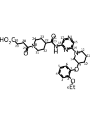 CCOc1ccccc1OC1CCCN(c2cncc(NC(=O)C3CCN(C(=O)CCC(=O)O)CC3)n2)C1